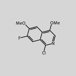 COc1cc2c(OC)cnc(Cl)c2cc1F